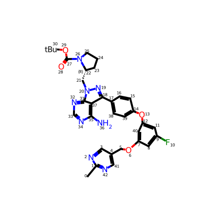 Cc1ncc(COc2cc(F)cc(Oc3ccc(-c4nn(C[C@H]5CCCN5C(=O)OC(C)(C)C)c5ncnc(N)c45)cc3)c2)cn1